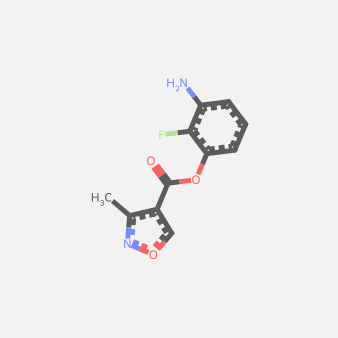 Cc1nocc1C(=O)Oc1cccc(N)c1F